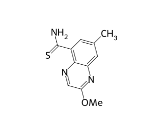 COc1cnc2c(C(N)=S)cc(C)cc2n1